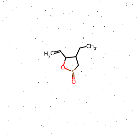 C=CC1OS(=O)CC1CC